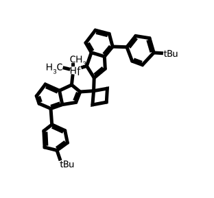 CC(C)(C)c1ccc(-c2cccc3c2C=C2[CH]3[Hf]([CH3])([CH3])[CH]3C(=Cc4c(-c5ccc(C(C)(C)C)cc5)cccc43)C23CCC3)cc1